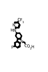 O=C(O)Cn1c2c(c3cc(F)ccc31)CC(Nc1ccc(C(F)(F)F)cn1)CC2